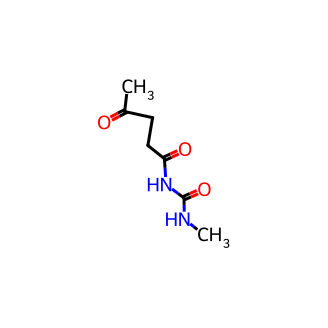 CNC(=O)NC(=O)CCC(C)=O